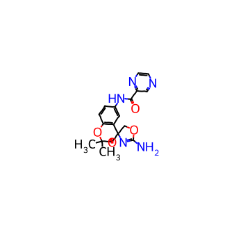 CC1(C)Oc2ccc(NC(=O)c3cnccn3)cc2C2(COC(N)=N2)C12COC2